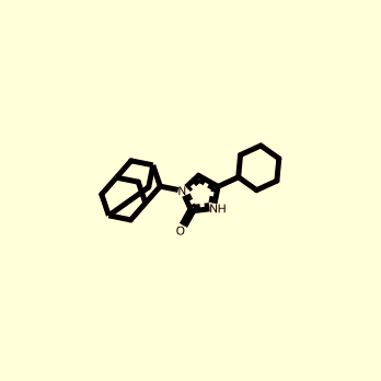 O=c1[nH]c(C2CCCCC2)cn1C1C2CC3CC(C2)CC1C3